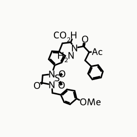 COc1ccc(CN2C(=O)CN(c3ccc(CC(C(=O)O)N(N)C(=O)C(Cc4ccccc4)C(C)=O)cc3)S2(=O)=O)cc1